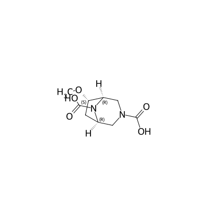 CO[C@H]1C[C@@H]2CN(C(=O)O)C[C@H]1N2C(=O)O